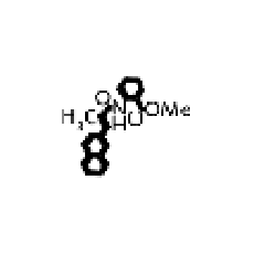 COC(=O)c1ccccc1NC(=O)/C(C)=C/c1ccc2ccccc2c1